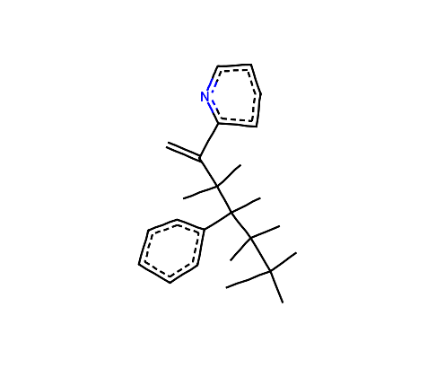 C=C(c1ccccn1)C(C)(C)C(C)(c1ccccc1)C(C)(C)C(C)(C)C